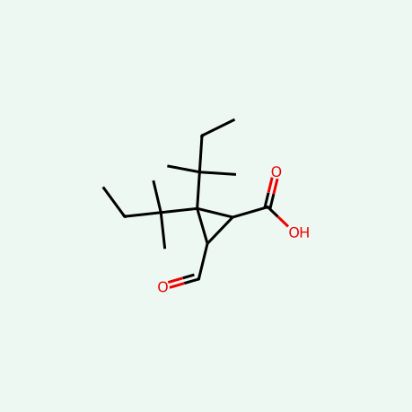 CCC(C)(C)C1(C(C)(C)CC)C(C=O)C1C(=O)O